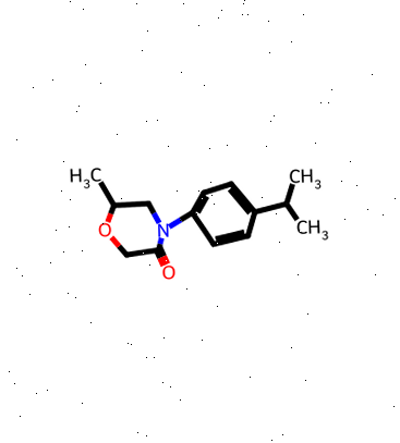 CC1CN(c2ccc(C(C)C)cc2)C(=O)CO1